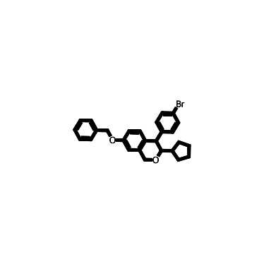 Brc1ccc(C2c3ccc(OCc4ccccc4)cc3COC2C2CCCC2)cc1